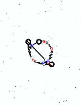 c1cc2c3cc1COCc1ccc4c(c1)c1cc5cnc1n4-c1ccc(cc1)OCCCOc1ccc(cc1)-n2c1ccc(cc31)COC5